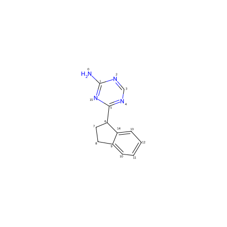 Nc1ncnc(C2CCc3ccccc32)n1